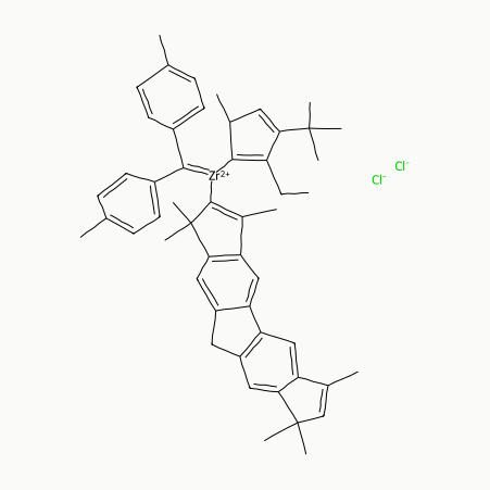 CCC1=[C]([Zr+2]([C]2=C(C)c3cc4c(cc3C2(C)C)Cc2cc3c(cc2-4)C(C)=CC3(C)C)=[C](c2ccc(C)cc2)c2ccc(C)cc2)C(C)C=C1C(C)(C)C.[Cl-].[Cl-]